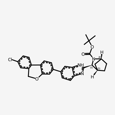 CC(C)(C)OC(=O)N1[C@@H]2CC[C@@H](C2)[C@H]1c1nc2ccc(-c3ccc4c(c3)OCc3cc(Cl)ccc3-4)cc2[nH]1